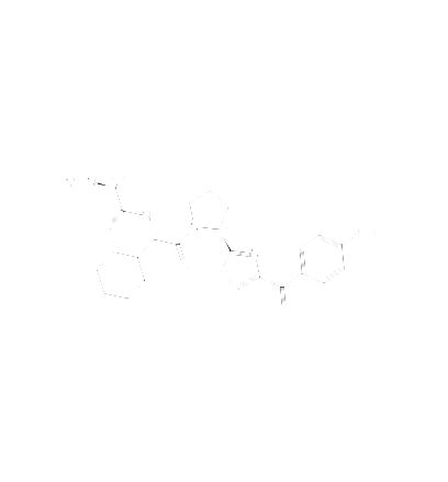 CN[C@@H](C)C(=O)N[C@H](C(=O)N1CCC[C@H]1c1nc(C(=O)c2ccc(C)cc2)cs1)C1CCCCC1